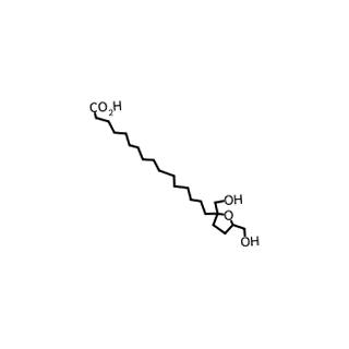 O=C(O)CCCCCCCCCCCCCCCC1(CO)CCC(CO)O1